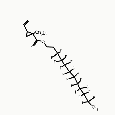 C=CC1CC1(C(=O)OCC)C(=O)OCCC(F)(F)C(F)(F)C(F)(F)C(F)(F)C(F)(F)C(F)(F)C(F)(F)C(F)(F)C(F)(F)C(F)(F)F